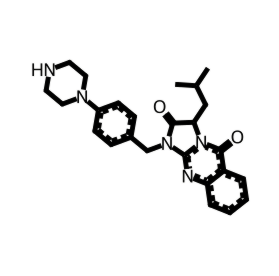 CC(C)CC1C(=O)N(Cc2ccc(N3CCNCC3)cc2)c2nc3ccccc3c(=O)n21